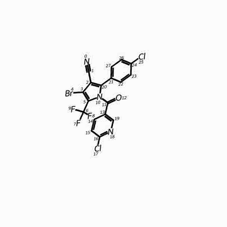 N#Cc1c(Br)c(C(F)(F)F)n(C(=O)c2ccc(Cl)nc2)c1-c1ccc(Cl)cc1